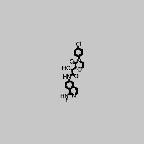 O=C(Nc1ccc2c(NI)nccc2c1)[C@H](O)[C@H]1OCCN(c2ccc(Cl)cc2)C1=O